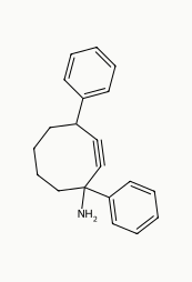 NC1(c2ccccc2)C#CC(c2ccccc2)CCCC1